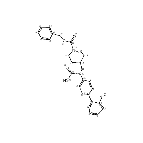 N#Cc1ccccc1-c1ccc(N(CC2CCN(C(=O)OCc3ccccc3)CC2)C(=O)S)cc1